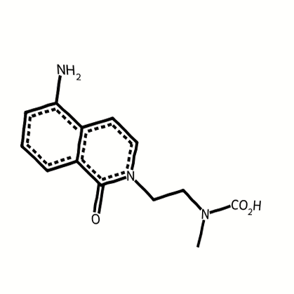 CN(CCn1ccc2c(N)cccc2c1=O)C(=O)O